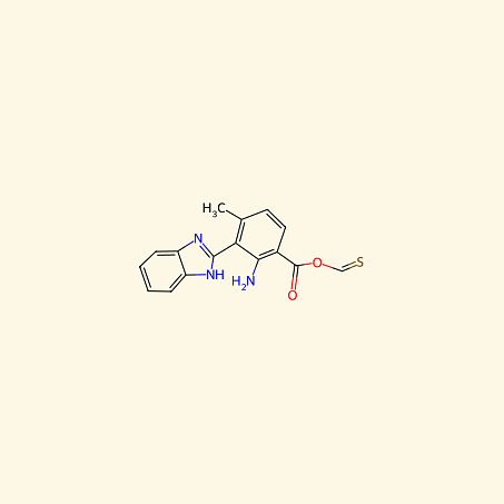 Cc1ccc(C(=O)OC=S)c(N)c1-c1nc2ccccc2[nH]1